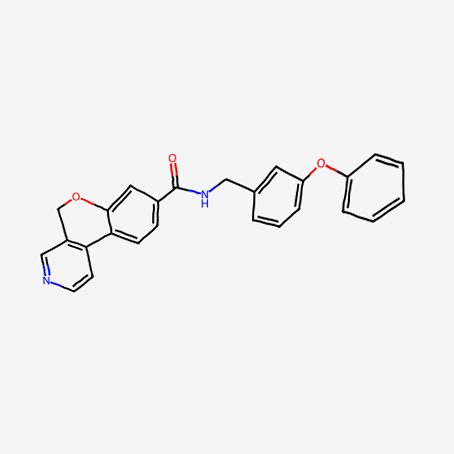 O=C(NCc1cccc(Oc2ccccc2)c1)c1ccc2c(c1)OCc1cnccc1-2